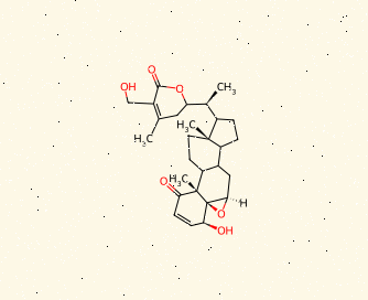 CC1=C(CO)C(=O)OC([C@@H](C)C2CCC3C4C[C@H]5O[C@]56[C@@H](O)C=CC(=O)[C@]6(C)C4CC[C@@]32C)C1